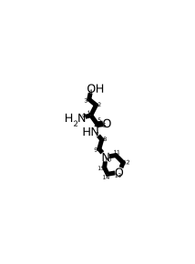 NC(CCO)C(=O)NCCN1CCOCC1